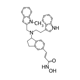 Cn1c(CN(CCc2c[nH]c3ccccc23)C2CCc3cc(C=CC(=O)NO)ccc32)cc2ccccc21